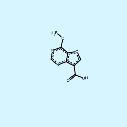 O=C(O)c1coc2c(OP)ncnc12